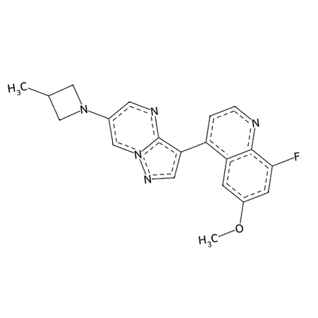 COc1cc(F)c2nccc(-c3cnn4cc(N5CC(C)C5)cnc34)c2c1